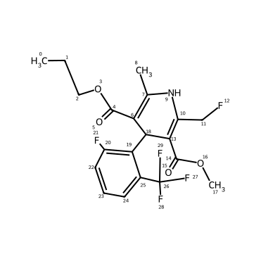 CCCOC(=O)C1=C(C)NC(CF)=C(C(=O)OC)C1c1c(F)cccc1C(F)(F)F